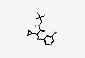 O=C(NCC(F)(F)F)C(Nc1cncc(Br)c1)C1CC1